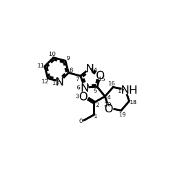 CCC(=O)C1(c2nc(-c3ccccn3)no2)CNCCO1